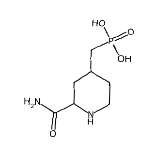 NC(=O)C1CC(CP(=O)(O)O)CCN1